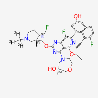 [2H]C([2H])([2H])N1CC/C(=C\F)[C@](C)(COc2nc(N3CCOC[C@@](C)(O)C3)c3c(OCC)nc(-c4cc(O)cc5ccc(F)c(C#C)c45)c(F)c3n2)C1